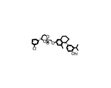 Cc1cc(OC[P@]2(=O)OCC[C@@H](c3cccc(Cl)c3)O2)cc2c1[C@@H](c1ccc(O)c(C(C)C)c1)CCC2